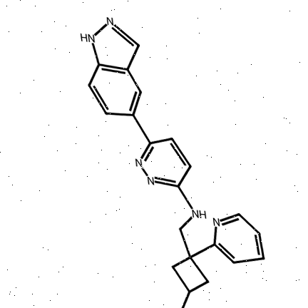 COC1CC(CNc2ccc(-c3ccc4[nH]ncc4c3)nn2)(c2ccccn2)C1